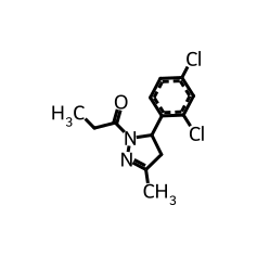 CCC(=O)N1N=C(C)CC1c1ccc(Cl)cc1Cl